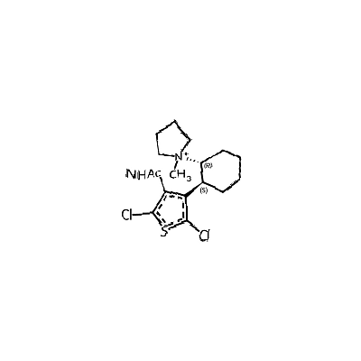 CC(=O)Nc1c(Cl)sc(Cl)c1[C@@H]1CCCC[C@H]1[N+]1(C)CCCC1